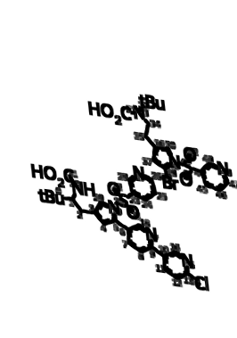 CC(C)(C)C(Cc1cc(-c2ccc(-c3ccc(Cl)nc3)nc2)n(S(=O)(=O)c2cccnc2)c1)NC(=O)O.CC(C)(C)N(CCc1cc(Br)n(S(=O)(=O)c2cccnc2)c1)C(=O)O